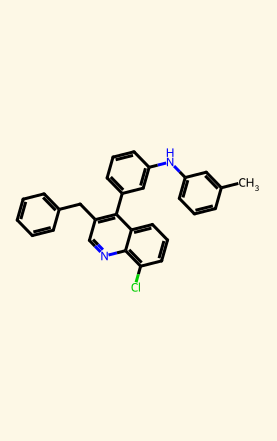 Cc1cccc(Nc2cccc(-c3c(Cc4ccccc4)cnc4c(Cl)cccc34)c2)c1